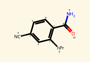 CCCc1cc(C#N)ccc1C(N)=O